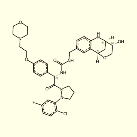 O=C(NCc1ccc2c(c1)[C@H]1C[C@@H](N2)[C@H](O)CO1)N[C@H](C(=O)N1CCCN1c1cc(F)ccc1Cl)c1ccc(OCCN2CCOCC2)cc1